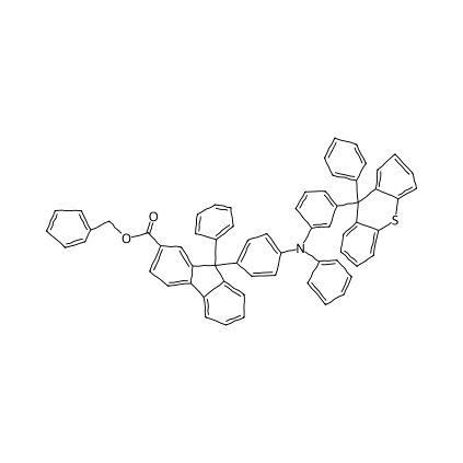 O=C(OCc1ccccc1)c1ccc2c(c1)C(c1ccccc1)(c1ccc(N(c3ccccc3)c3cccc(C4(c5ccccc5)c5ccccc5Sc5ccccc54)c3)cc1)c1ccccc1-2